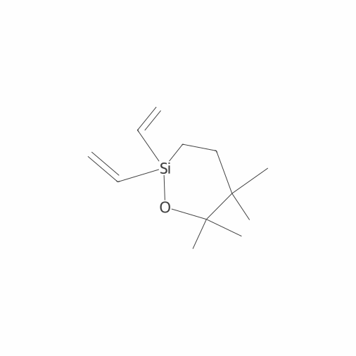 C=C[Si]1(C=C)CCC(C)(C)C(C)(C)O1